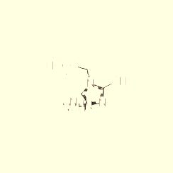 O=C(O)Cn1cnnc1S.[NaH].[NaH]